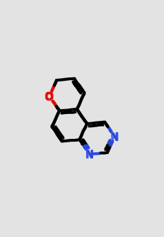 C1=Cc2c(ccc3ncncc23)OC1